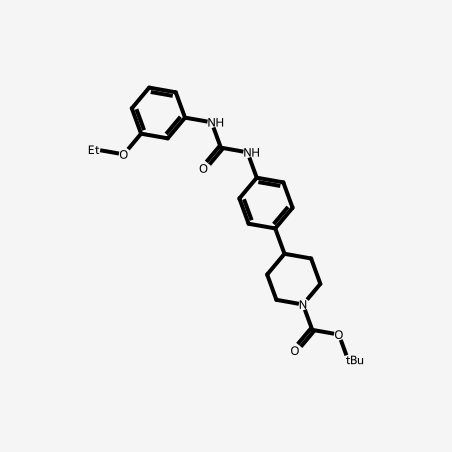 CCOc1cccc(NC(=O)Nc2ccc(C3CCN(C(=O)OC(C)(C)C)CC3)cc2)c1